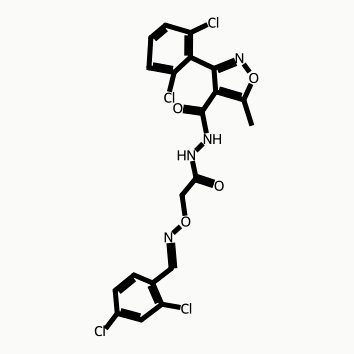 Cc1onc(-c2c(Cl)cccc2Cl)c1C(=O)NNC(=O)CON=Cc1ccc(Cl)cc1Cl